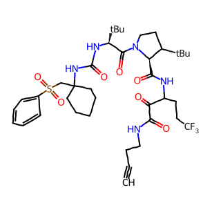 C#CCCNC(=O)C(=O)C(CCC(F)(F)F)NC(=O)[C@@H]1C(C(C)(C)C)CCN1C(=O)[C@@H](NC(=O)NC1(CS(=O)(=O)c2ccccc2)CCCCC1)C(C)(C)C